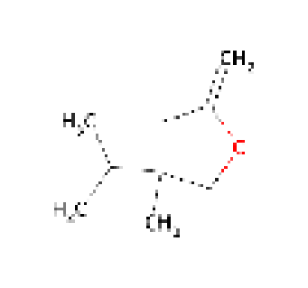 C=C1CC(C)(C(C)C)CO1